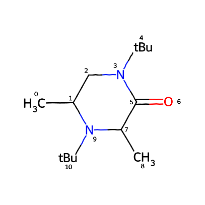 CC1CN(C(C)(C)C)C(=O)C(C)N1C(C)(C)C